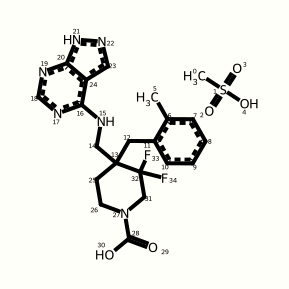 CS(=O)(=O)O.Cc1ccccc1CC1(CNc2ncnc3[nH]ncc23)CCN(C(=O)O)CC1(F)F